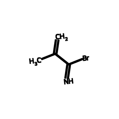 C=C(C)C(=N)Br